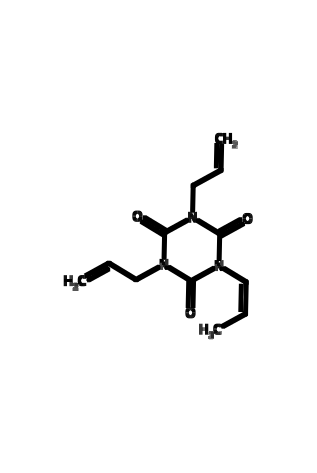 C=CCn1c(=O)n(/C=C\C)c(=O)n(CC=C)c1=O